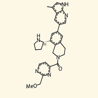 COCc1nccc(C(=O)N2CCc3cc(-c4cnc5[nH]cc(C)c5c4)cc([C@@H]4CCCN4)c3C2)n1